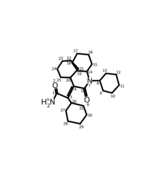 NC(=O)/C(=C(/C(=O)N(C1CCCCC1)C1CCCCC1)C1CCCCC1)C1CCCCC1